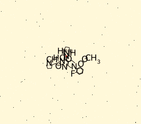 COCOc1cccc(F)c1N1CCc2c(nc(OCC3CCCN3C)nc2N2C[C@H]3CC[C@@H](C2)N3C(=O)O)C1